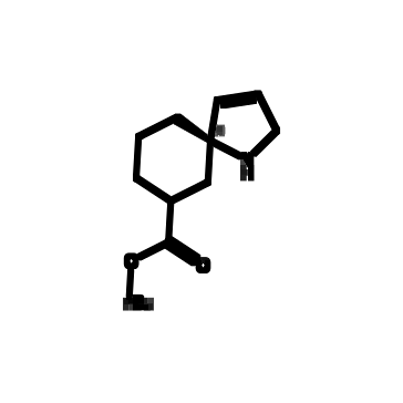 CCCCOC(=O)C1CCC[C@]2(C=CCN2)C1